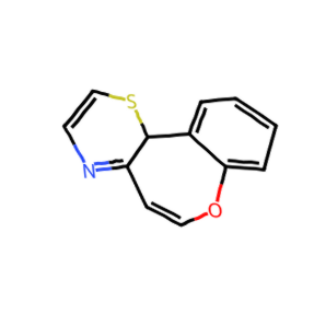 C1=CSC2C(=N1)C=COc1ccccc12